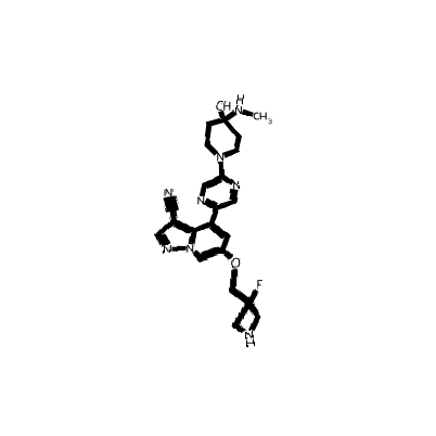 CNC1(C)CCN(c2cnc(-c3cc(OCC4(F)CNC4)cn4ncc(C#N)c34)cn2)CC1